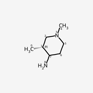 C[C@@H]1CN(C)CCC1N